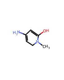 CN1CC=C(N)C=C1O